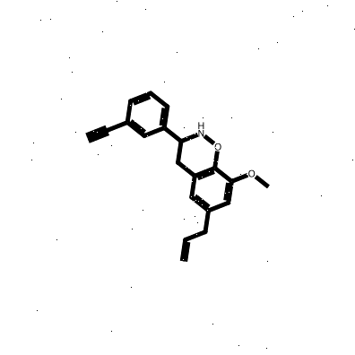 C#Cc1cccc(C2Cc3cc(CC=C)cc(OC)c3ON2)c1